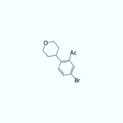 CC(=O)c1cc(Br)ccc1C1CCOCC1